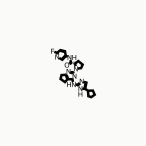 O=C(Nc1ccc(F)nc1)[C@@H]1CCCN1c1nc2c(c(Nc3ncc(C4CCCC4)[nH]3)n1)CCC2